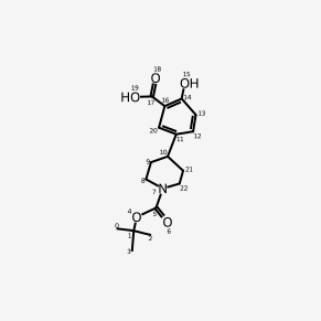 CC(C)(C)OC(=O)N1CCC(c2ccc(O)c(C(=O)O)c2)CC1